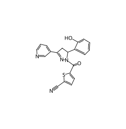 N#Cc1ccc(C(=O)N2N=C(c3cccnc3)CC2c2ccccc2O)s1